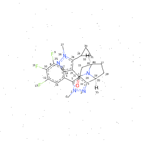 Cn1nc2c(c1-c1cc(F)c(F)c(F)c1)C[C@H]1CC[C@@H]2N1C(=O)c1cnn(C)c1C1CC1